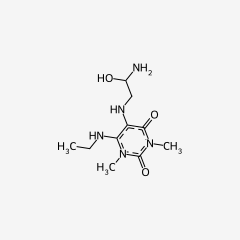 CCNc1c(NCC(N)O)c(=O)n(C)c(=O)n1C